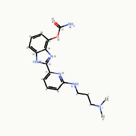 CCN(CC)CCCNc1cccc(-c2nc3c(OC(N)=O)cccc3[nH]2)n1